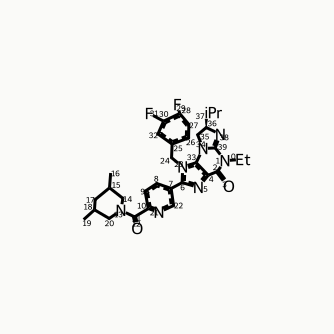 CCN1C(=O)c2nc(-c3ccc(C(=O)N4CC(C)CC(C)C4)nc3)n(Cc3ccc(F)c(F)c3)c2N2C[C@@H](C(C)C)N=C12